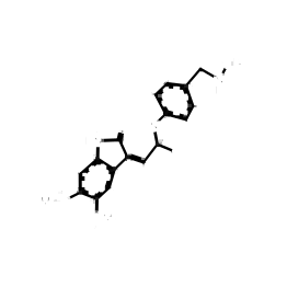 CCCCNCc1ccc(NC(C)C=C2C(=O)Nc3cc(OC)c(OC)cc32)cc1